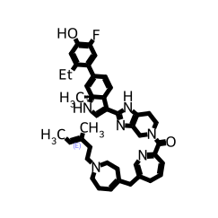 C/C=C(\C)CCN1CCC=C(CC2=CN=C(C(=O)N3CCc4[nH]c(C5=CN[C@]6(C)C=C(c7cc(F)c(O)cc7CC)C=CC56)nc4C3)C=CC2)CC1